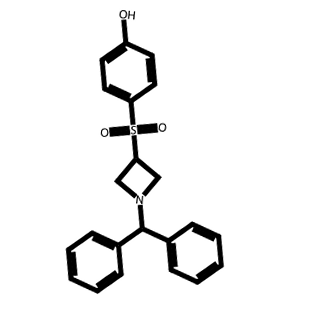 O=S(=O)(c1ccc(O)cc1)C1CN(C(c2ccccc2)c2ccccc2)C1